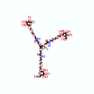 CCC1O[C@H](OCCOCCOCCNC(=O)CCOCC(C)(COCCC(=O)NCCOCCOCCO[C@H]2OC(CO)[C@@H](O)C(O)[C@H]2O)COCCC(=O)NCCOCCOCCO[C@H]2OC(CO)[C@@H](O)C(O)[C@H]2O)[C@H](O)C(O)[C@@H]1O